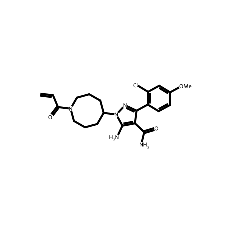 C=CC(=O)N1CCCC(n2nc(-c3ccc(OC)cc3Cl)c(C(N)=O)c2N)CCC1